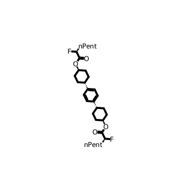 CCCCC[C@H](F)C(=O)O[C@H]1CC[C@H](c2ccc([C@H]3CC[C@H](OC(=O)[C@@H](F)CCCCC)CC3)cc2)CC1